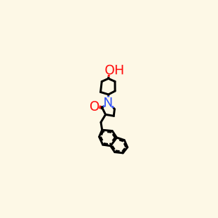 O=C1C(Cc2ccc3ccccc3c2)CCN1C1CCC(O)CC1